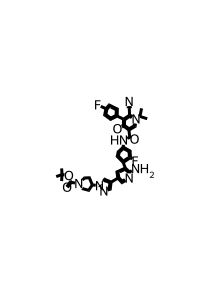 CC(C)n1cc(C(=O)Nc2ccc(-c3cc(-c4cnn(C5CCN(C(=O)OC(C)(C)C)CC5)c4)cnc3N)c(F)c2)c(=O)c(-c2ccc(F)cc2)c1C#N